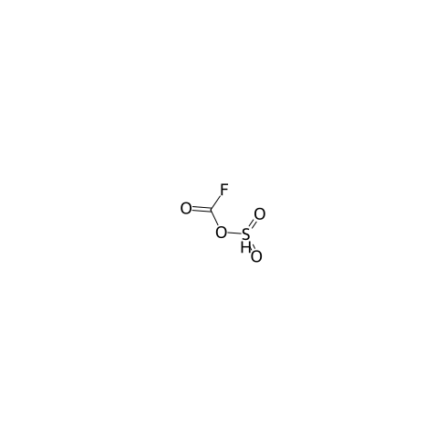 O=C(F)O[SH](=O)=O